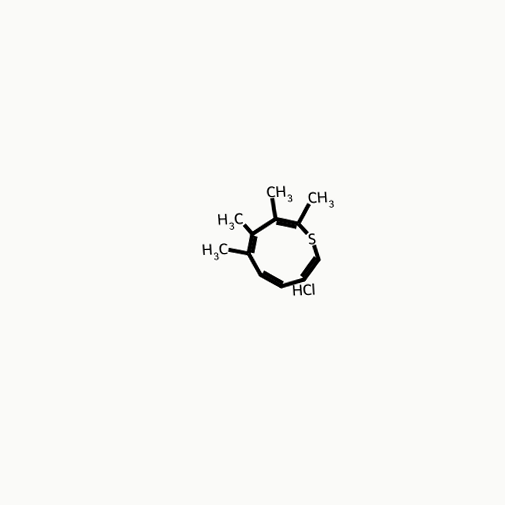 Cc1ccccsc(C)c(C)c1C.Cl